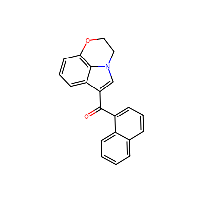 O=C(c1cccc2ccccc12)c1cn2c3c(cccc13)OCC2